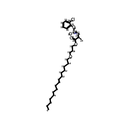 CCCCCCCCCCCCCCCCOCCCOC(=O)[C@H](C)/N=[P+](\[O-])Oc1ccccc1Cl